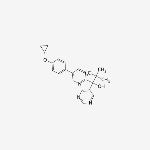 CC(C)(C)C(O)(c1cncnc1)c1ccc(-c2ccc(OC3CC3)cc2)cn1